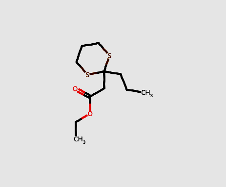 CCCC1(CC(=O)OCC)SCCCS1